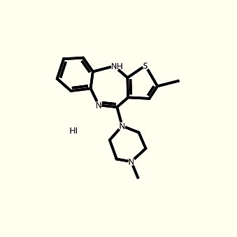 Cc1cc2c(s1)Nc1ccccc1N=C2N1CCN(C)CC1.I